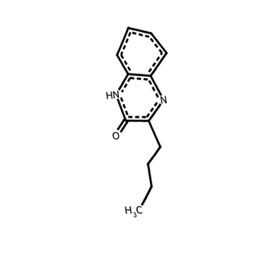 CCCCc1nc2ccccc2[nH]c1=O